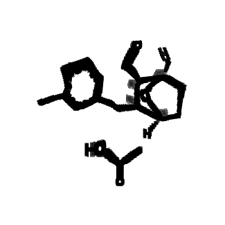 CC(=O)O.Cc1cccc(C[C@H]2[C@@H](C=O)[C@H]3CC[C@@H]2O3)c1